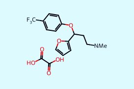 CNCCC(Oc1ccc(C(F)(F)F)cc1)c1ccco1.O=C(O)C(=O)O